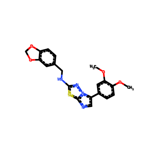 COc1ccc(-c2cnc3sc(NCc4ccc5c(c4)OCO5)nn23)cc1OC